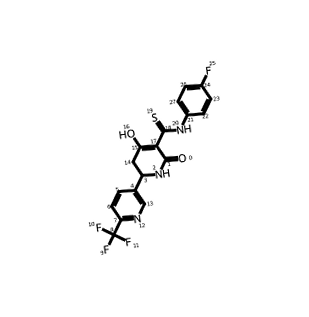 O=C1NC(c2ccc(C(F)(F)F)nc2)CC(O)=C1C(=S)Nc1ccc(F)cc1